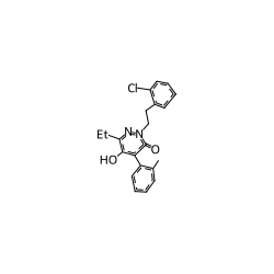 CCc1nn(CCc2ccccc2Cl)c(=O)c(-c2ccccc2C)c1O